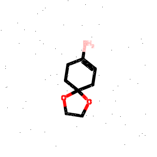 BC1=CCC2(CC1)OCCO2